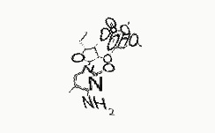 CC[C@H]1O[C@H](n2cc(C)c(N)nc2=O)C(OCCOC)[C@H]1OP(=O)(O)OC